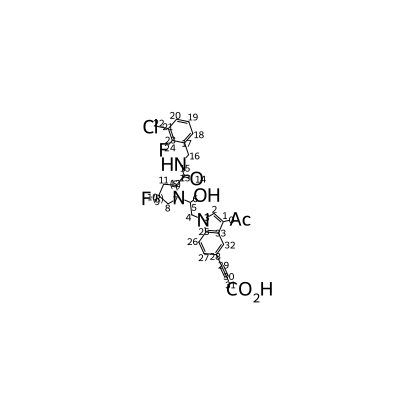 CC(=O)c1cn(CC(O)N2C[C@H](F)C[C@H]2C(=O)NCc2cccc(Cl)c2F)c2ccc(C#CC(=O)O)cc12